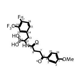 COc1ccc(C(=O)CCC(=O)NC(Cc2ccc(F)c(C(F)(F)F)c2)B(O)O)cc1